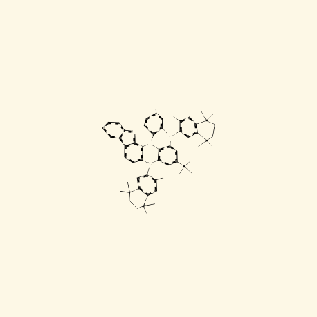 Cc1cc2c(cc1N1c3cc(Cl)ccc3B3c4c1cc(C(C)(C)C)cc4N(c1cc4c(cc1C)C(C)(C)CCC4(C)C)c1ccc4c(oc5ccccc54)c13)C(C)(C)CCC2(C)C